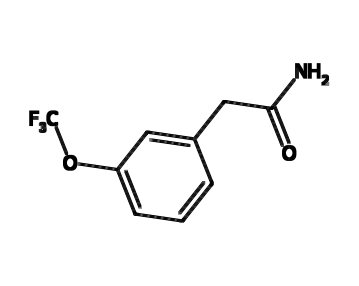 NC(=O)Cc1cccc(OC(F)(F)F)c1